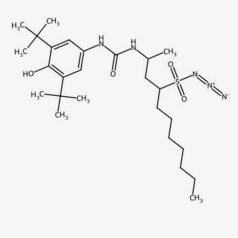 CCCCCCCC(CC(C)NC(=O)Nc1cc(C(C)(C)C)c(O)c(C(C)(C)C)c1)S(=O)(=O)N=[N+]=[N-]